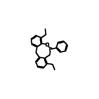 CCc1cccc2c1CP(c1ccccc1)Oc1c(CC)cccc1C2